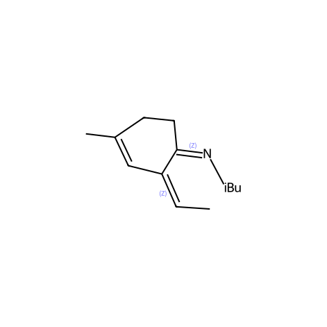 C/C=C1/C=C(C)CC/C1=N/C(C)CC